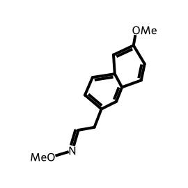 CON=CCc1ccc2cc(OC)ccc2c1